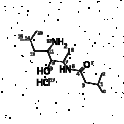 CC(C)CC(=O)NC(I)C(O)C(N)CC(C)C.Cl